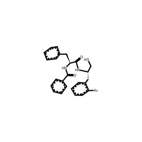 CC(=O)c1ccccc1C[C@@H](CO)NC(=O)[C@H](Cc1ccccc1)NC(=O)c1ccccc1